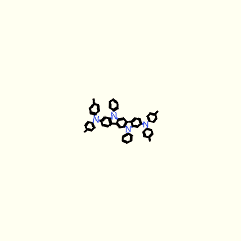 Cc1ccc(N(c2ccc(C)cc2)c2ccc3c4cc5c(cc4n(-c4ccccc4)c3c2)c2ccc(N(c3ccc(C)cc3)c3ccc(C)cc3)cc2n5-c2ccccc2)cc1